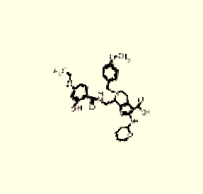 CCOc1ccc(C(=O)NCC2c3sc(NC4CCCCO4)c(C(=O)O)c3CCN2Cc2ccc(OC)cc2)c(O)c1